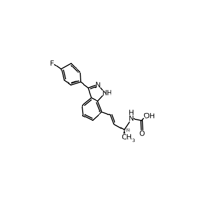 C[C@@H](C=Cc1cccc2c(-c3ccc(F)cc3)n[nH]c12)NC(=O)O